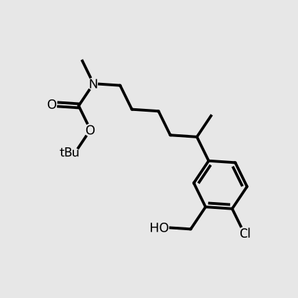 CC(CCCCN(C)C(=O)OC(C)(C)C)c1ccc(Cl)c(CO)c1